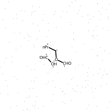 CCCCOC=O.O=CO